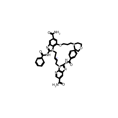 NC(=O)c1cnc2c(c1)nc(NC(=O)c1ccccc1)n2C/C=C/Cn1c(NC(=O)c2ccccc2)nc2cc(C(N)=O)cc(OCCCN3CCOCC3)c21